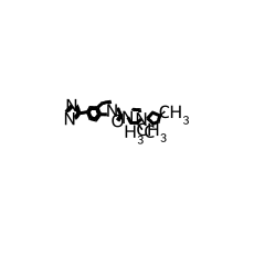 C[C@@H]1CC(N2CCN(C(=O)CN3CCc4cc(-c5cncnc5)ccc4C3)C[C@@H]2C)[C@H](C)C1